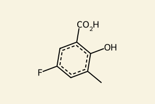 Cc1cc(F)cc(C(=O)O)c1O